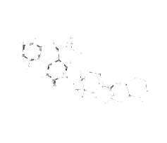 C[C@H](CC1CCCCC1)C(=O)N1CC[C@@](O)(Cn2cc(C(=O)N(C)C)c(-c3ccccc3F)cc2=O)C(C)(C)C1